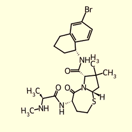 CN[C@@H](C)C(=O)N[C@H]1CCS[C@H]2CC(C)(C)[C@@H](C(=O)N[C@@H]3CCCc4cc(Br)ccc43)N2C1=O